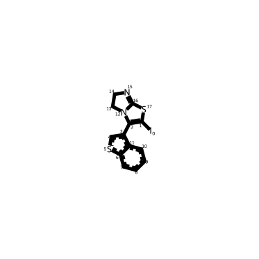 IC1=C(c2csc3ccccc23)N2CCN=C2S1